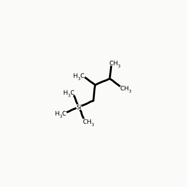 CC(C)C(C)C[Si](C)(C)C